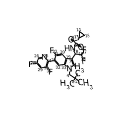 CC(C)(C)Cn1cc(C(NS(=O)(=O)C2CC2)C(F)F)c2cc(F)c(-c3ncc(F)cc3F)cc21